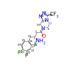 N[C@@H](CC(=O)N1CCn2c(nnc2C(F)(F)F)C1)CC1=C(F)C=C(F)C(F)=C=C1